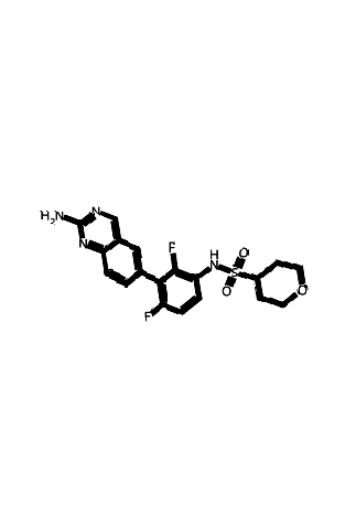 Nc1ncc2cc(-c3c(F)ccc(NS(=O)(=O)C4CCOCC4)c3F)ccc2n1